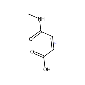 CNC(=O)/C=C\C(=O)O